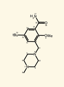 COc1c(CN2CCN(C)CC2)cc(C(C)(C)C)cc1C(N)=O